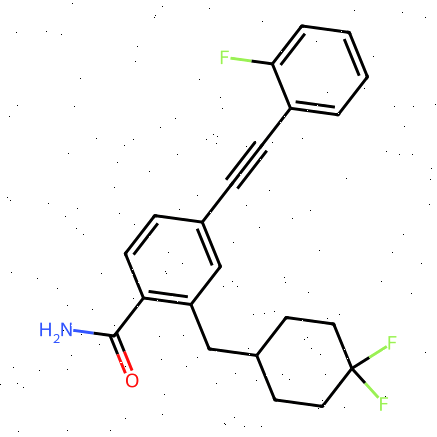 NC(=O)c1ccc(C#Cc2ccccc2F)cc1CC1CCC(F)(F)CC1